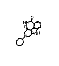 O=C1NN=C2CN(C3CCCCC3)Cc3[nH]c4cccc1c4c32